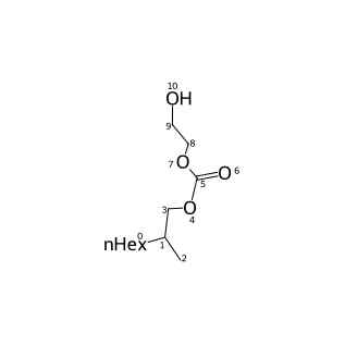 CCCCCCC(C)COC(=O)OCCO